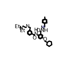 CCN(CC)CCN(C)Cc1cccc(C(=O)Nc2ccc(OCC3CCCCC3)cc2C(=O)N/N=C/c2ccc(C)cc2)c1